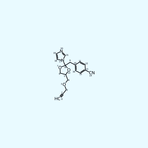 C#CCOCC1COC(Cc2ccc(C#N)cc2)(n2ccnc2)O1